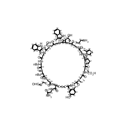 CCCC[C@H]1NC(=O)[C@H](Cc2c[nH]c3ccccc23)NC(=O)[C@H](CO)NC(=O)[C@H](Cc2c[nH]c3ccccc23)NC(=O)[C@@H]2C[C@@H](O)CN2C(=O)[C@H](CCCN)NC(=O)[C@H](Cc2cnc[nH]2)NC(=O)[C@@H]2CCCN2C(=O)[C@H](CC(=O)O)NC(=O)[C@H](C)N(C)C(=O)[C@H](Cc2ccc(O)cc2)NC(=O)CSCC(C(=O)NCC(N)=O)NC(=O)[C@H](CCOC=O)NC(=O)[C@H](CCCC)N(C)C1=O